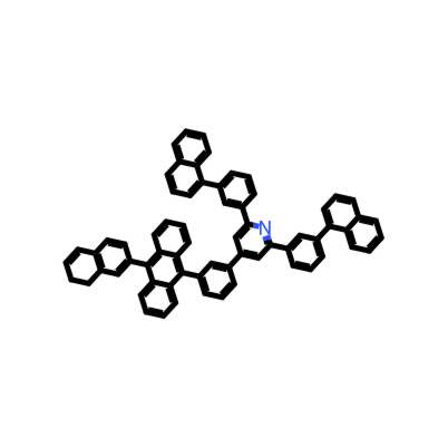 C1=Cc2ccc(-c3c4ccccc4c(-c4cccc(-c5cc(-c6cccc(-c7cccc8ccccc78)c6)nc(-c6cccc(-c7cccc8ccccc78)c6)c5)c4)c4ccccc34)cc2CC1